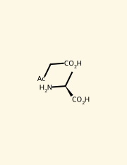 CC(=O)CC(=O)O.C[C@H](N)C(=O)O